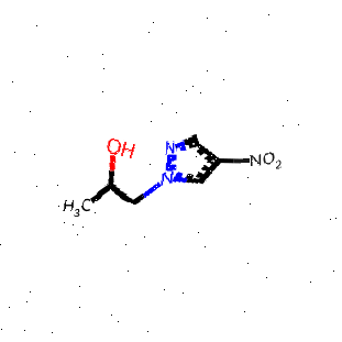 CC(O)Cn1cc([N+](=O)[O-])cn1